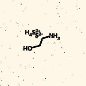 NCCO.[S-2].[SH4+2]